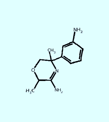 CC1OCC(C)(c2cccc(N)c2)N=C1N